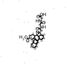 CC(=O)N1CCC(c2nn(CC(=O)NCC(=O)NCC(=O)O)c3cccc(-c4ccc5cnccc5c4)c23)CC1